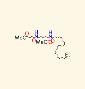 CC/C=C\C/C=C\C/C=C\C/C=C\C/C=C\C/C=C\CCC(=O)NC(CCCCNC(=O)/C=C/C(=O)OC)C(=O)OC